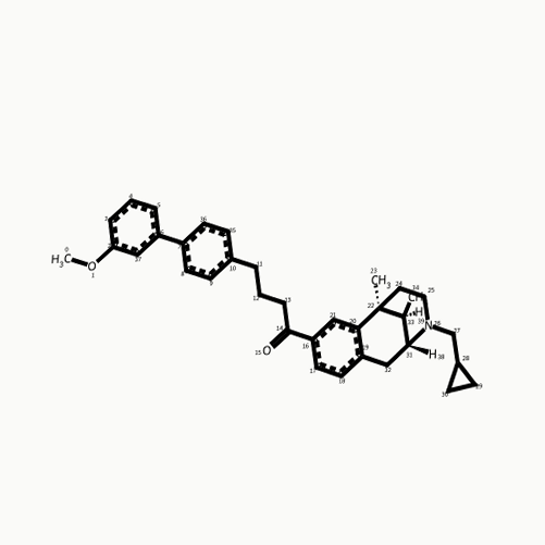 COc1cccc(-c2ccc(CCCC(=O)c3ccc4c(c3)[C@@]3(C)CCN(CC5CC5)[C@H](C4)[C@@H]3C)cc2)c1